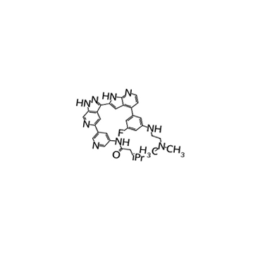 CC(C)CC(=O)Nc1cncc(-c2cc3c(-c4cc5c(-c6cc(F)cc(NCCN(C)C)c6)ccnc5[nH]4)n[nH]c3cn2)c1